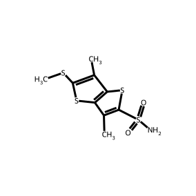 CSc1sc2c(C)c(S(N)(=O)=O)sc2c1C